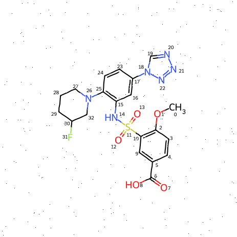 COc1ccc(C(=O)O)cc1S(=O)(=O)Nc1cc(-n2cnnn2)ccc1N1CCCC(F)C1